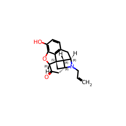 C=CCN1[C@@H]2Cc3ccc(O)c4c3[C@@]35C[C@@]1(CC(=O)[C@@H]3O4)[C@@H]25